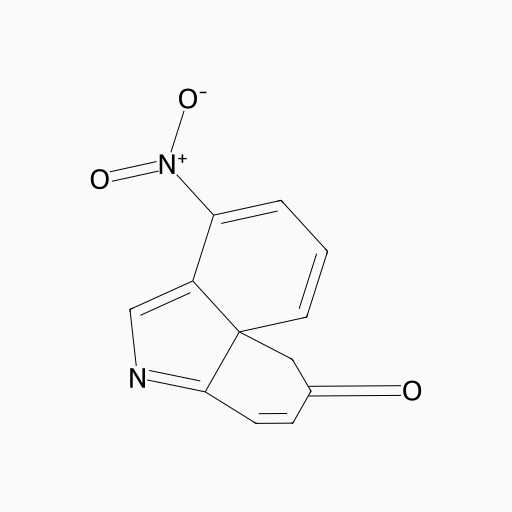 O=C1C=CC2=NC=C3C([N+](=O)[O-])=CC=CC32C1